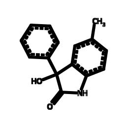 Cc1ccc2c(c1)C(O)(c1ccccc1)C(=O)N2